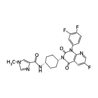 Cn1cnc(C(=O)N[C@H]2CC[C@@H](n3c(=O)c4cc(F)cnc4n(-c4ccc(F)c(F)c4)c3=O)CC2)c1